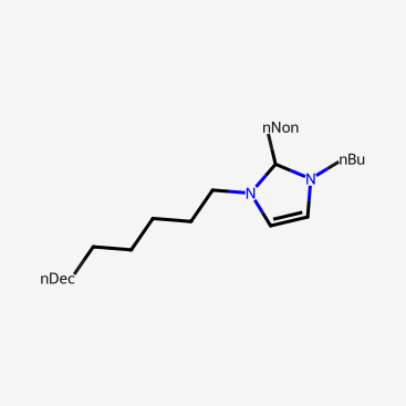 CCCCCCCCCCCCCCCN1C=CN(CCCC)C1CCCCCCCCC